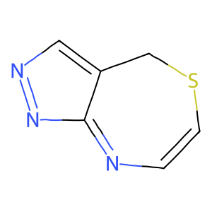 C1=CSCC2=CN=NC2=N1